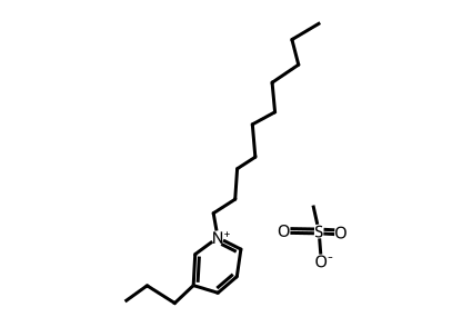 CCCCCCCCCC[n+]1cccc(CCC)c1.CS(=O)(=O)[O-]